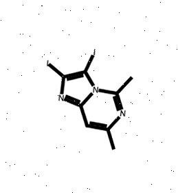 Cc1cc2nc(I)c(I)n2c(C)n1